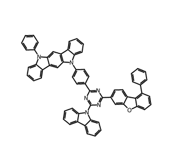 c1ccc(-c2cccc3oc4cc(-c5nc(-c6ccc(-n7c8ccccc8c8cc9c(cc87)c7ccccc7n9-c7ccccc7)cc6)nc(-n6c7ccccc7c7ccccc76)n5)ccc4c23)cc1